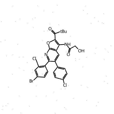 CC(C)(C)C(=O)c1oc2nc(-c3ccc(Br)cc3Cl)c(-c3ccc(Cl)cc3)cc2c1NC(=O)CO